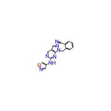 N#Cc1ccccc1Cn1ncc2cnc(Nc3cnoc3)nc21